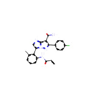 C=CC(=O)Nc1cccc(C)c1-c1c[nH]c2c(C(N)=O)c(-c3ccc(Cl)cc3)nn12